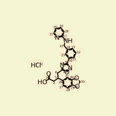 Cl.O=C(O)CC(Cc1nc(-c2cccc(CNc3ccccn3)c2)no1)c1ccc2c(c1)OCO2